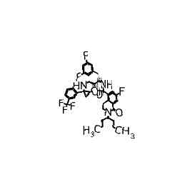 CCCC(CCC)N1CCc2c(C(=O)N[C@@H](Cc3cc(F)cc(F)c3)[C@@H](O)CNC3(c4cccc(C(F)(F)F)c4)CC3)cc(F)cc2C1=O